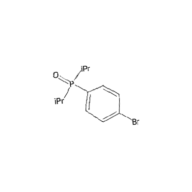 CC(C)P(=O)(c1ccc(Br)cc1)C(C)C